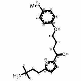 [CH2]C(C)(N)CCc1ccc(C(=O)CCCOc2ccc(SC)cc2)s1